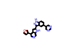 c1ncc(-c2ccc3[nH]nc(-c4cc5c(-c6ccoc6)cncc5[nH]4)c3c2)cn1